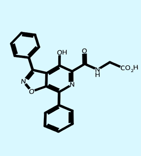 O=C(O)CNC(=O)c1nc(-c2ccccc2)c2onc(-c3ccccc3)c2c1O